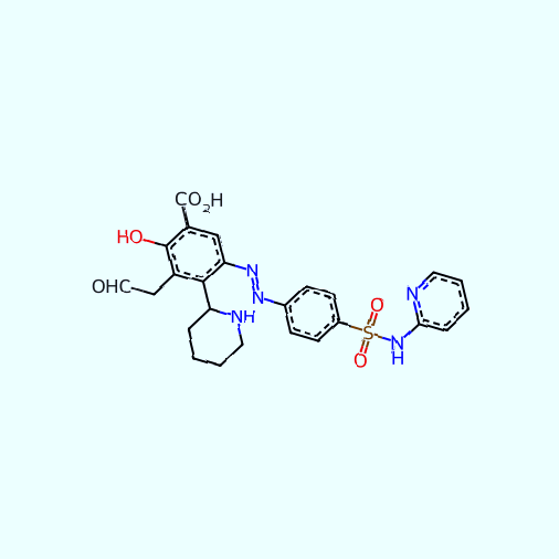 O=CCc1c(O)c(C(=O)O)cc(N=Nc2ccc(S(=O)(=O)Nc3ccccn3)cc2)c1C1CCCCN1